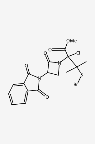 COC(=O)C(Cl)(N1CC(N2C(=O)c3ccccc3C2=O)C1=O)C(C)(C)SBr